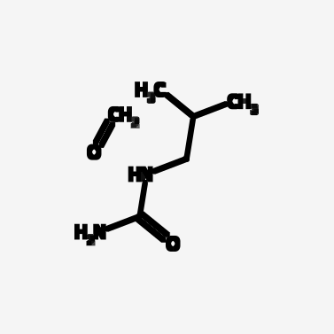 C=O.CC(C)CNC(N)=O